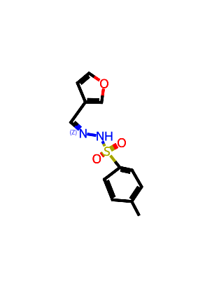 Cc1ccc(S(=O)(=O)N/N=C\c2ccoc2)cc1